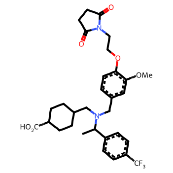 COc1cc(CN(CC2CCC(C(=O)O)CC2)C(C)c2ccc(C(F)(F)F)cc2)ccc1OCCN1C(=O)CCC1=O